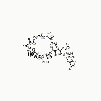 CCC1/C=C(\C)CC(C)CC(OC)C2OC(O)(C(=O)C(=O)N3CCCCC3C(=O)OC(C(C)=CC3CCC(Nc4ccc5c(ccn5C)c4)C(OC)C3)C(C)C(O)CC1=O)C(C)CC2OC